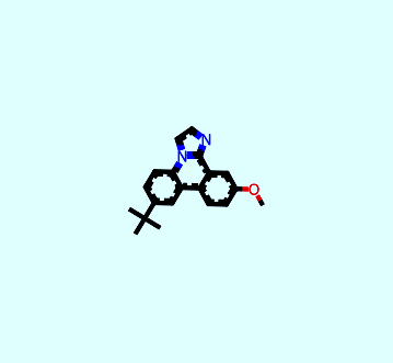 COc1ccc2c3cc(C(C)(C)C)ccc3n3ccnc3c2c1